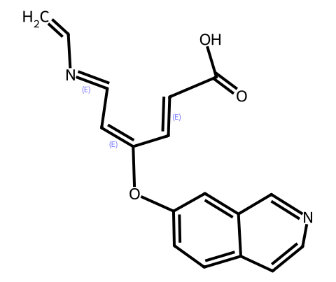 C=C/N=C/C=C(\C=C\C(=O)O)Oc1ccc2ccncc2c1